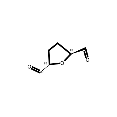 O=C[C@@H]1CC[C@@H](C=O)O1